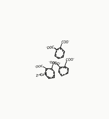 O=C([O-])c1ccccc1C(=O)[O-].O=C([O-])c1ccccc1C(=O)[O-].O=C([O-])c1ccccc1C(=O)[O-].[Ca+2].[Zr+4]